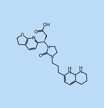 O=C(O)C[C@H](c1ccc2c(n1)OCC2)N1CCN(CCCC2=CC=C3CCCNC3N2)C1=O